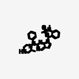 CC1CNCCN1N(c1ccccc1)c1ncc2ccn(Cc3ccccc3N(C)S(C)(=O)=O)c2n1